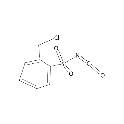 O=C=NS(=O)(=O)c1ccccc1CCl